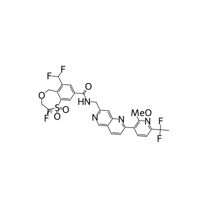 COc1nc(C(C)(F)F)ccc1-c1ccc2cnc(CNC(=O)c3cc(C(F)F)c4c(c3)S(=O)(=O)[C@@H](F)COC4)cc2n1